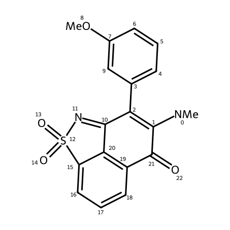 CNC1=C(c2cccc(OC)c2)C2=NS(=O)(=O)c3cccc(c32)C1=O